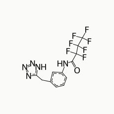 O=C(Nc1cccc(Cc2nnn[nH]2)c1)C(F)(F)C(F)(F)C(F)(F)F